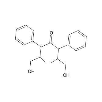 CC(CO)C(C(=O)C(c1ccccc1)C(C)CO)c1ccccc1